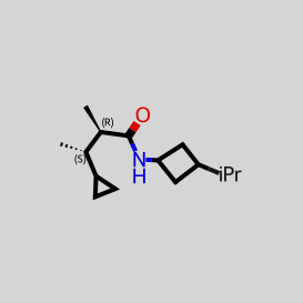 CC(C)C1CC(NC(=O)[C@H](C)[C@@H](C)C2CC2)C1